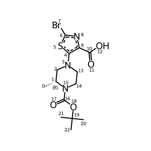 C[C@@H]1CN(c2sc(Br)nc2C(=O)O)CCN1C(=O)OC(C)(C)C